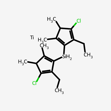 CCC1=C(Cl)C(C)C(C)=C1[SiH2]C1=C(C)C(C)C(Cl)=C1CC.[Ti]